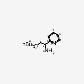 CCCCOCC(N)c1ccccn1